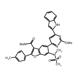 CNC(=O)c1c(-c2ccc(C)cc2)oc2cc(N(C)S(C)(=O)=O)c(-c3cc(-c4cc5ccccc5[nH]4)nc(OC)n3)cc12